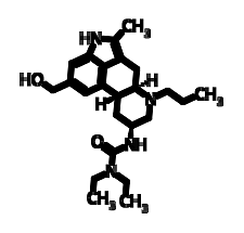 CCCN1C[C@@H](NC(=O)N(CC)CC)C[C@@H]2c3cc(CO)cc4[nH]c(C)c(c34)C[C@H]21